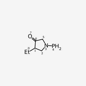 CCC1CN(P)CC1=O